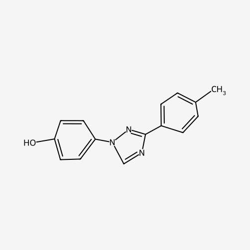 Cc1ccc(-c2ncn(-c3ccc(O)cc3)n2)cc1